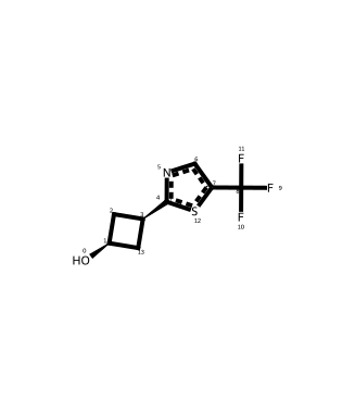 O[C@H]1C[C@@H](c2ncc(C(F)(F)F)s2)C1